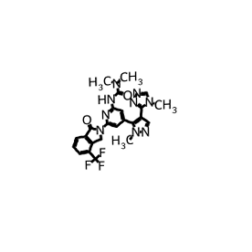 CN(C)C(=O)Nc1cc(-c2c(-c3nncn3C)cnn2C)cc(N2Cc3c(cccc3C(F)(F)F)C2=O)n1